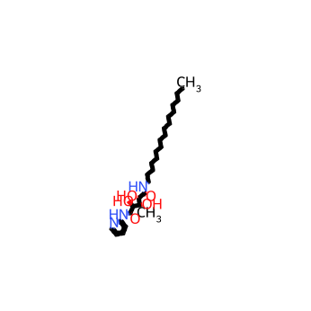 CCCCCCCCCCCCCCCCCCNC(=O)C(O)C(C)(O)C(O)C(=O)Nc1ccccn1